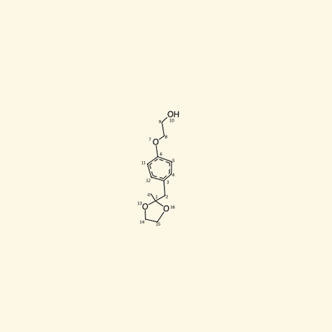 CC1(Cc2ccc(OCCO)cc2)OCCO1